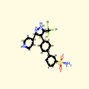 NS(=O)(=O)c1cccc(-c2ccc(-c3c(-c4ccncc4)n[nH]c3C(F)(F)F)cc2)c1